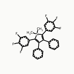 C[Si]1(C)C(c2cc(F)c(F)c(F)c2)=C(c2ccccc2)C(c2ccccc2)=C1c1cc(F)c(F)c(F)c1